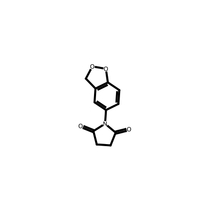 O=C1CCC(=O)N1c1ccc2c(c1)COO2